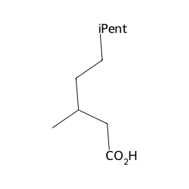 CCCC(C)CCC(C)CC(=O)O